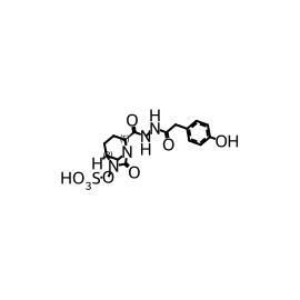 O=C(Cc1ccc(O)cc1)NNC(=O)[C@@H]1CC[C@@H]2CN1C(=O)N2OS(=O)(=O)O